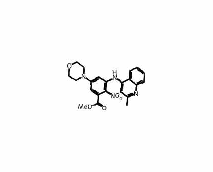 COC(=O)c1cc(N2CCOCC2)cc(Nc2cc(C)nc3ccccc23)c1[N+](=O)[O-]